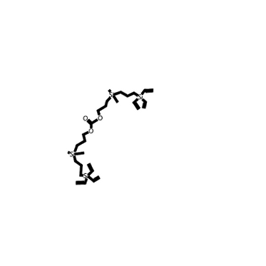 C=C[Si](C=C)(C=C)CCC[Si](C)(C)CCCOC(=O)OCCC[Si](C)(C)CCC[Si](C=C)(C=C)C=C